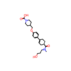 CN(CCCO)C(=O)C1CC=C(c2ccc(OCC3CCN(C(=O)O)CC3)cc2)CC1